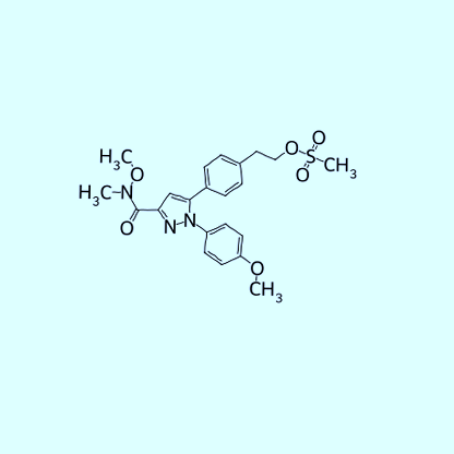 COc1ccc(-n2nc(C(=O)N(C)OC)cc2-c2ccc(CCOS(C)(=O)=O)cc2)cc1